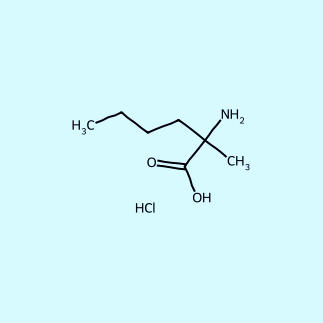 CCCCC(C)(N)C(=O)O.Cl